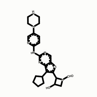 O=CN1CC(O)C1c1sc2cnc(Nc3ccc(N4CCNCC4)cn3)nc2c1C1CCCC1